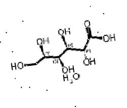 O.O=C(O)[C@H](O)[C@H](O)[C@@H](O)[C@H](O)CO